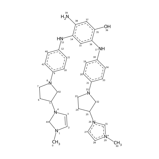 CN1C=CN(C2CCN(c3ccc(Nc4cc(Nc5ccc(N6CCC(n7cc[n+](C)c7)C6)cc5)c(O)cc4N)cc3)C2)C1